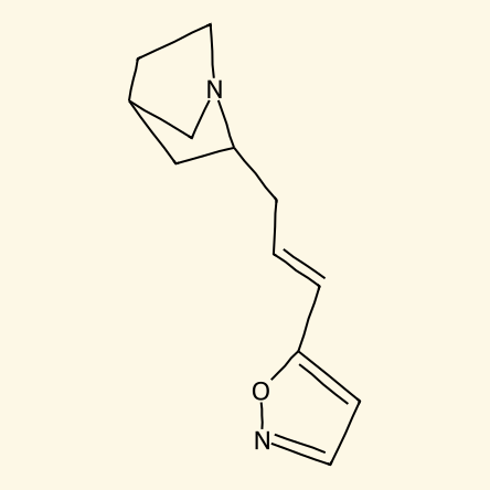 C(=Cc1ccno1)CC1CC2CCN1C2